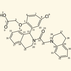 O=C(O)COc1ccc(Cl)cc1C1c2ccccc2CCN1C(=O)CN1CCCc2ccccc21